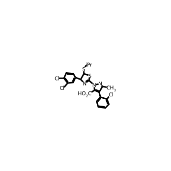 Cc1nn(C2=NC(c3ccc(Cl)c(Cl)c3)C(SC(C)C)S2)c(C(=O)O)c1-c1ccccc1Cl